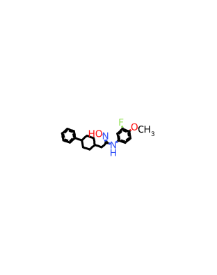 COc1ccc(NC(CC2CCC(c3ccccc3)CC2)=NO)cc1F